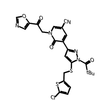 CC(C)(C)C(=O)n1nc(-c2cc(C#N)cn(CC(=O)c3cnco3)c2=O)cc1SCc1ccc(Cl)s1